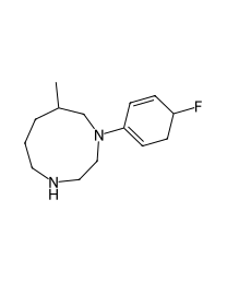 CC1CCCNCCN(C2=CCC(F)C=C2)C1